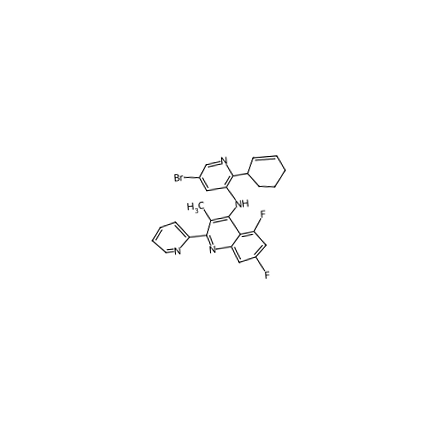 Cc1c(-c2ccccn2)nc2cc(F)cc(F)c2c1Nc1cc(Br)cnc1C1C=CCCC1